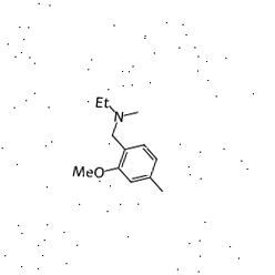 CCN(C)Cc1ccc(C)cc1OC